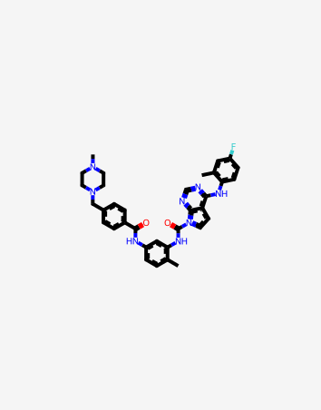 Cc1ccc(NC(=O)c2ccc(CN3CCN(C)CC3)cc2)cc1NC(=O)n1ccc2c(Nc3ccc(F)cc3C)ncnc21